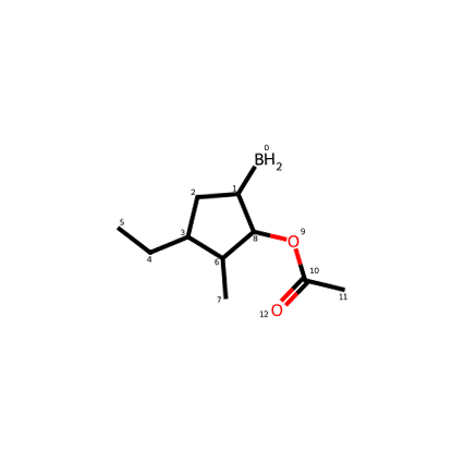 BC1CC(CC)C(C)C1OC(C)=O